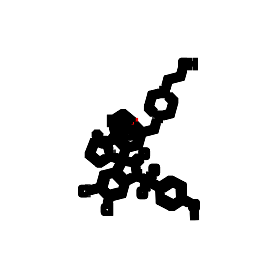 COc1ccc(S(=O)(=O)N2C(=O)C(c3cc(CN4CCN(CCO)CC4)ccc3OC)(N3CCC[C@H]3c3ncco3)c3cc(Cl)c(Cl)cc32)cc1